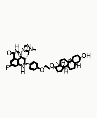 Cn1ncnc1C[C@H]1c2n[nH]c(=O)c3cc(F)cc(c23)N[C@@H]1c1ccc(OCCO[C@H]2CC[C@H]3[C@@H]4CC[C@H]5C[C@@H](O)CC[C@]5(C)[C@@]4(C)CC[C@]23C)cc1